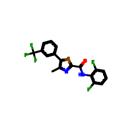 Cc1nc(C(=O)Nc2c(F)cccc2F)sc1-c1cccc(C(F)(F)F)c1